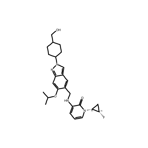 CC(C)Oc1cc2nn(C3CCC(CO)CC3)cc2cc1CNc1cccn([C@@H]2C[C@@H]2F)c1=O